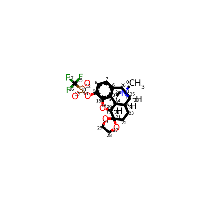 CN1CC[C@@]23c4c5ccc(OS(=O)(=O)C(F)(F)F)c4O[C@@H]2C2(CC[C@@H]3[C@@H]1C5)OCCO2